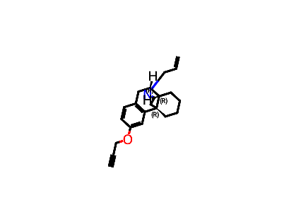 C#CCOc1ccc2c(c1)[C@@]13CCCC[C@H]1[C@@H](C2)N(CC=C)CC3